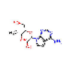 C[C@@H](O)[C@@H](CO)O[C@H](CO)n1ccc2c(N)ncnc21